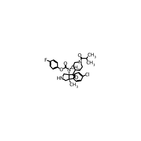 CC(C)C(=O)N1CCC(C(=O)[C@@]2(N(C)C(=O)Oc3ccc(F)cc3)CNC[C@@]2(C)c2ccc(Cl)cc2)CC1